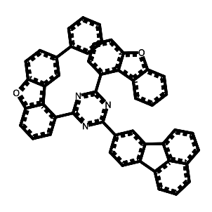 c1ccc(-c2ccc3oc4cccc(-c5nc(-c6ccc7c(c6)-c6cccc8cccc-7c68)nc(-c6cccc7oc8ccccc8c67)n5)c4c3c2)cc1